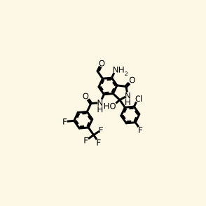 Nc1c(C=O)cc(NC(=O)c2cc(F)cc(C(F)(F)F)c2)c2c1C(=O)NC2(O)c1ccc(F)cc1Cl